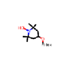 CCCCCCOC1CC(C)(C)N(O)C(C)(C)C1